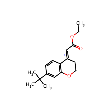 CCOC(=O)/C=C1\CCOc2cc(C(C)(C)C)ccc21